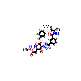 CNC(=O)C(NC(=O)c1cccc(-c2nnn(C(C(=O)OCc3ccccc3)C(=O)C(N)CC(=O)OC(C)(C)C)n2)c1)C(C)C